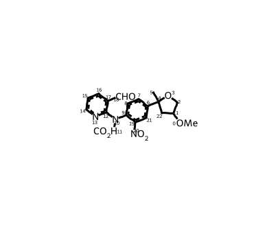 COC1COC(C)(c2ccc(N(C(=O)O)c3ncccc3C=O)c([N+](=O)[O-])c2)C1